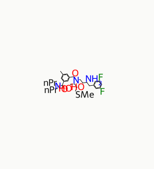 CCCN(CCC)C(=O)c1cc(C)cc(C(=O)N(C[C@@H](O)[C@@H](N)Cc2cc(F)cc(F)c2)[C@H](CO)CCSC)c1